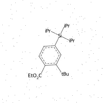 CCOC(=O)c1ccc([Si](C(C)C)(C(C)C)C(C)C)cc1C(C)(C)C